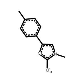 Cc1ccc(-c2cn(C)c(C(F)(F)F)n2)cc1